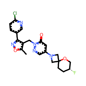 Cc1onc(-c2ccc(Cl)nc2)c1Cn1ncc(N2CC3(CC[C@@H](F)CO3)C2)cc1=O